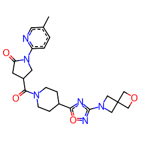 Cc1ccc(N2CC(C(=O)N3CCC(c4nc(N5CC6(COC6)C5)no4)CC3)CC2=O)nc1